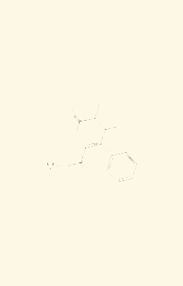 CCC1C(c2ccccc2)=C(C(=O)OC)OC(=O)C1C